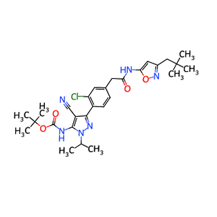 CC(C)n1nc(-c2ccc(CC(=O)Nc3cc(CC(C)(C)C)no3)cc2Cl)c(C#N)c1NC(=O)OC(C)(C)C